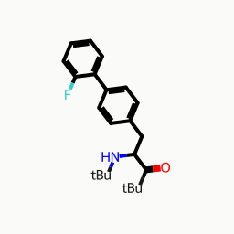 CC(C)(C)NC(Cc1ccc(-c2ccccc2F)cc1)C(=O)C(C)(C)C